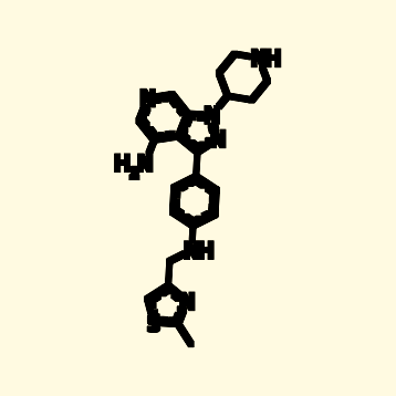 Cc1nc(CNc2ccc(-c3nn(C4CCNCC4)c4cncc(N)c34)cc2)cs1